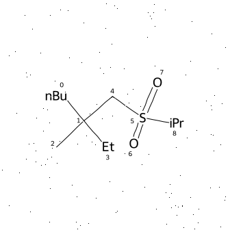 CCCCC(C)(CC)CS(=O)(=O)C(C)C